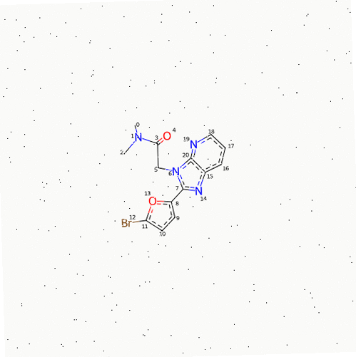 CN(C)C(=O)Cn1c(-c2ccc(Br)o2)nc2cccnc21